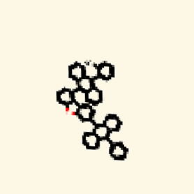 N#Cc1ccccc1-c1c2ccccc2c(-c2cccc3oc4cc(-c5c6ccccc6c(-c6ccccc6)c6ccccc56)ccc4c23)c2ccccc12